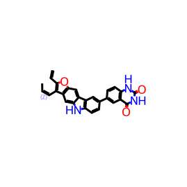 C=Cc1oc2cc3c(cc2c1/C=C\C)[nH]c1ccc(-c2ccc4[nH]c(=O)[nH]c(=O)c4c2)cc13